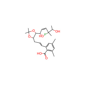 Cc1cc(C)c(C(=O)O)c(/C=C/CC2OC(C)(C)OC2C(O)/C=C\C(C)(F)C(C)O)c1